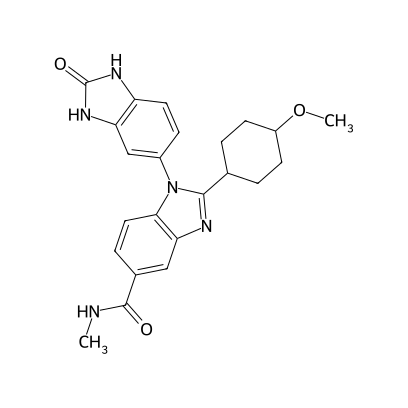 CNC(=O)c1ccc2c(c1)nc(C1CCC(OC)CC1)n2-c1ccc2[nH]c(=O)[nH]c2c1